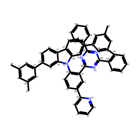 Cc1cc(C)cc(-c2ccc3c4ccc(-c5cc(C)cc(C)c5)cc4n(-c4ccc(-c5ccccn5)cc4-c4nc(-c5ccccc5)nc(-c5ccccc5)n4)c3c2)c1